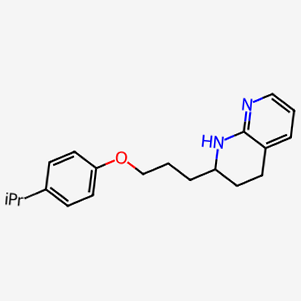 CC(C)c1ccc(OCCCC2CCc3cccnc3N2)cc1